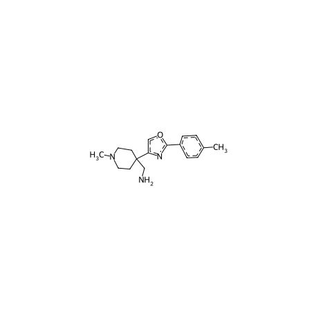 Cc1ccc(-c2nc(C3(CN)CCN(C)CC3)co2)cc1